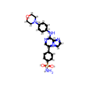 NS(=O)(=O)c1ccc(-c2cnc(Nc3ccc(N4CCOCC4)cc3)c3nccn23)cc1